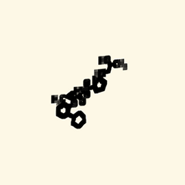 Cc1cccc(C2CCCCC2)c1OC1(C(=O)NS(=O)(=O)c2cccc(NCC(C)O)n2)CC1